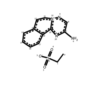 CCS(=O)(=O)[O-].Nc1cn[n+]2ccc3ccccc3c2n1